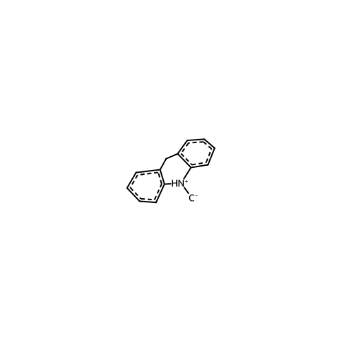 [CH2-][NH+]1c2ccccc2Cc2ccccc21